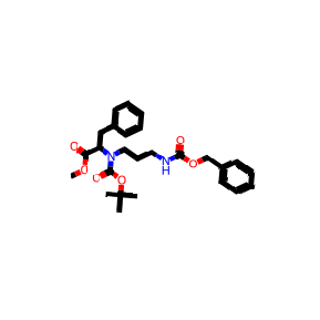 COC(=O)C(Cc1ccccc1)N(CCCNC(=O)OCc1ccccc1)C(=O)OC(C)(C)C